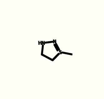 CS1=NNCC1